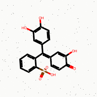 O=C1C=C/C(=C(/c2ccc(O)c(O)c2)c2ccccc2S(=O)(=O)O)C=C1O